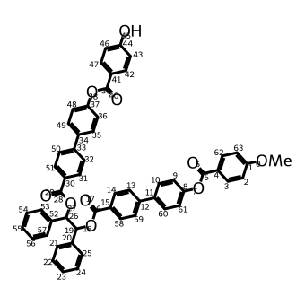 COc1ccc(C(=O)Oc2ccc(-c3ccc(C(=O)OC(c4ccccc4)C(OC(=O)c4ccc(-c5ccc(OC(=O)c6ccc(O)cc6)cc5)cc4)c4ccccc4)cc3)cc2)cc1